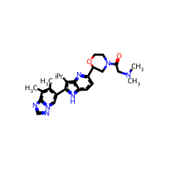 Cc1c(-c2[nH]c3ccc(C4CN(C(=O)CN(C)C)CCO4)nc3c2C(C)C)cn2ncnc2c1C